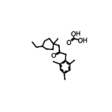 CCC1CCC(C)(CC(=O)Cc2c(C)cc(C)cc2C)CC1.O=C(O)O